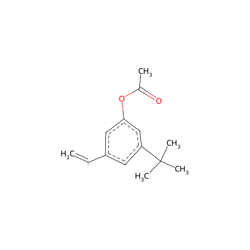 C=[C]c1cc(OC(C)=O)cc(C(C)(C)C)c1